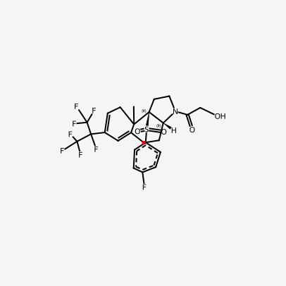 CC12CC=C(C(F)(C(F)(F)F)C(F)(F)F)C=C1CC[C@H]1N(C(=O)CO)CC[C@]12S(=O)(=O)c1ccc(F)cc1